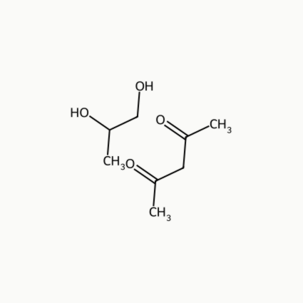 CC(=O)CC(C)=O.CC(O)CO